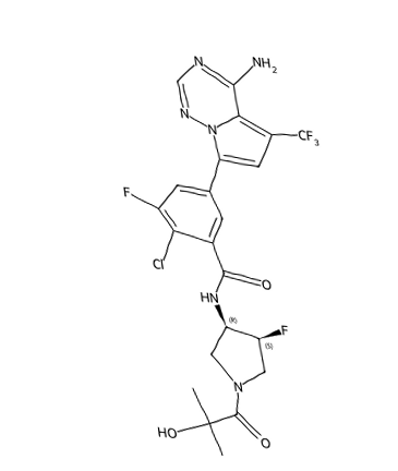 CC(C)(O)C(=O)N1C[C@H](F)[C@H](NC(=O)c2cc(-c3cc(C(F)(F)F)c4c(N)ncnn34)cc(F)c2Cl)C1